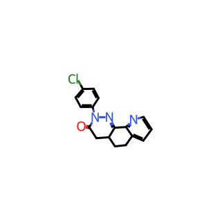 O=C1CC2CCc3cccnc3C2=NN1c1ccc(Cl)cc1